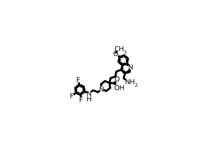 COc1ccc2ncc(CN)c(CCCC3(C(=O)O)CCN(CCNc4cc(F)cc(F)c4F)CC3)c2c1